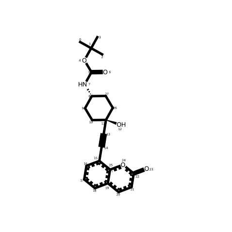 CC(C)(C)OC(=O)N[C@H]1CC[C@@](O)(C#Cc2cccc3ccc(=O)oc23)CC1